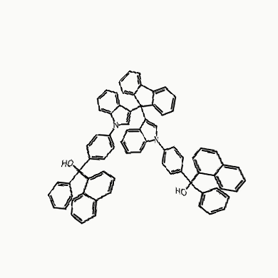 OC(c1ccccc1)(c1ccc(-n2cc(C3(c4cn(-c5ccc(C(O)(c6ccccc6)c6cccc7ccccc67)cc5)c5ccccc45)c4ccccc4-c4ccccc43)c3ccccc32)cc1)c1cccc2ccccc12